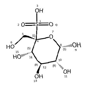 O=S(=O)(O)[C@]1(CO)O[C@H](O)[C@H](O)[C@@H](O)[C@@H]1O